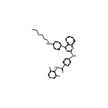 CCOCCCNc1ccc(-c2nc(Nc3ccc(C(=O)Nc4c(C)cccc4C)cc3)nc3ccccc23)cc1